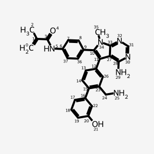 C=C(C)C(=O)Nc1ccc(-c2c(-c3ccc(-c4cccc(O)c4)c(CN)c3)c3c(N)ncnc3n2C)cc1